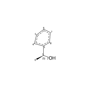 C[C@H](O)c1cc[c]cc1